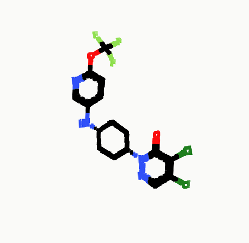 O=c1c(Cl)c(Cl)cnn1[C@H]1CC[C@@H](Nc2ccc(OC(F)(F)F)nc2)CC1